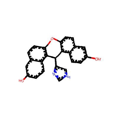 Oc1ccc2c3c(ccc2c1)Oc1ccc2cc(O)ccc2c1C3c1c[nH]cn1